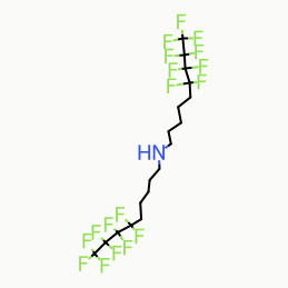 FC(F)(F)C(F)(F)C(F)(F)C(F)(F)CCCCCNCCCCCC(F)(F)C(F)(F)C(F)(F)C(F)(F)F